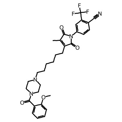 COc1ccccc1C(=O)N1CCN(CCCCCCC2=C(C)C(=O)N(c3ccc(C#N)c(C(F)(F)F)c3)C2=O)CC1